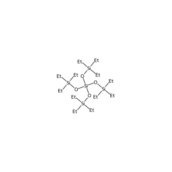 CC[Si](CC)(CC)O[Si](O[Si](CC)(CC)CC)(O[Si](CC)(CC)CC)O[Si](CC)(CC)CC